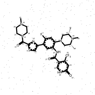 C[C@@H]1CN(c2cc(F)c(-c3csc(C(=O)N4CCN(C)CC4)n3)cc2NC(=O)c2c[nH]c(=O)cc2C(F)(F)F)C[C@H](C)N1C